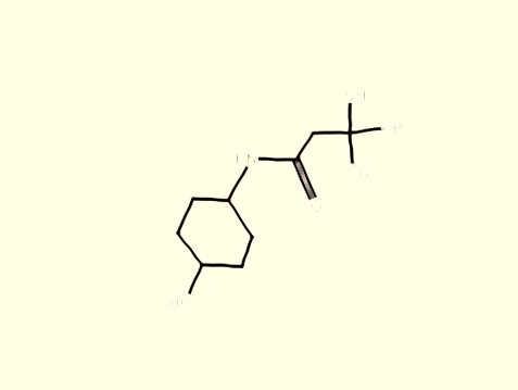 CC(C)(C)CC(=O)NC1CCC(O)CC1